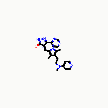 Cc1[nH]c(/C=C2/C(=O)NN=C2c2ccncn2)c(C)c1CCN(C)c1ccncc1